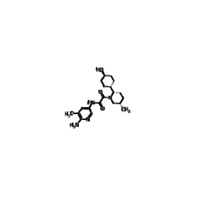 Cc1cc(NC(=O)C(=O)N2C[C@@H](C)CC[C@H]2[C@H]2CC[C@H](O)CC2)cnc1N